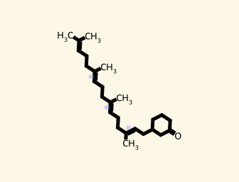 CC(C)=CCC/C(C)=C/CC/C(C)=C/CC/C(C)=C/CC1CCCC(=O)C1